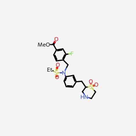 CCS(=O)(=O)N(Cc1ccc(C(=O)OC)cc1F)c1cccc(CC2CNCCS2(=O)=O)c1